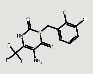 Nc1c(C(F)(F)F)[nH]c(=O)n(Cc2cccc(Cl)c2Cl)c1=O